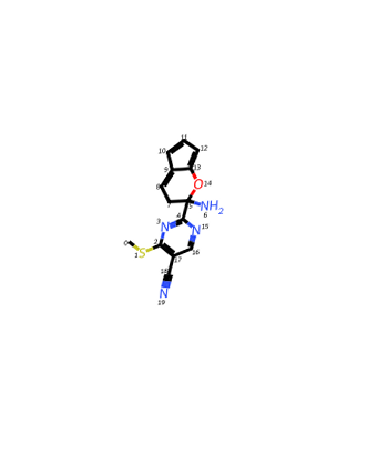 CSc1nc(C2(N)CC=C3C=CC=C3O2)ncc1C#N